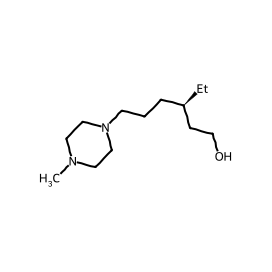 CC[C@@H](CCO)CCCN1CCN(C)CC1